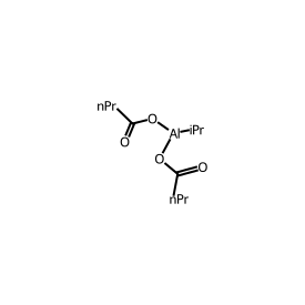 CCCC(=O)[O][Al]([O]C(=O)CCC)[CH](C)C